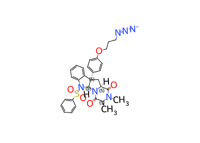 C[C@H]1C(=O)N2[C@@H](C[C@]3(c4ccc(OCCCN=[N+]=[N-])cc4)c4ccccc4N(S(=O)(=O)c4ccccc4)[C@H]23)C(=O)N1C